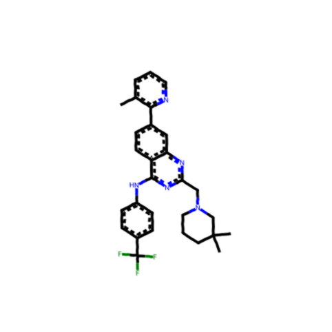 Cc1cccnc1-c1ccc2c(Nc3ccc(C(F)(F)F)cc3)nc(CN3CCCC(C)(C)C3)nc2c1